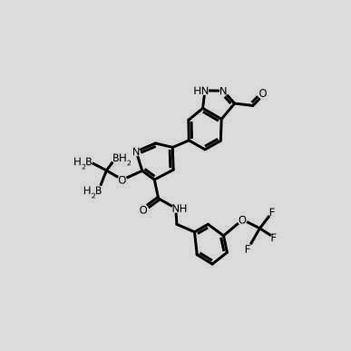 BC(B)(B)Oc1ncc(-c2ccc3c(C=O)n[nH]c3c2)cc1C(=O)NCc1cccc(OC(F)(F)F)c1